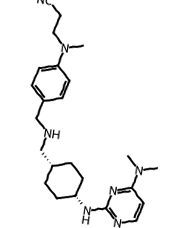 CN(C)c1ccnc(N[C@H]2CC[C@@H](CNCc3ccc(N(C)CCC#N)cc3)CC2)n1